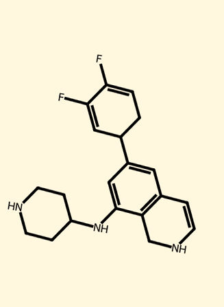 FC1=CCC(c2cc3c(c(NC4CCNCC4)c2)CNC=C3)C=C1F